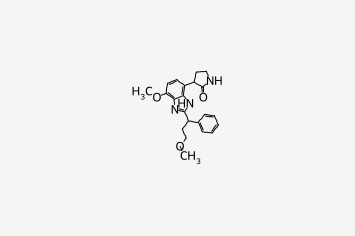 COCCC(c1ccccc1)c1nc2c(OC)ccc(C3CCNC3=O)c2[nH]1